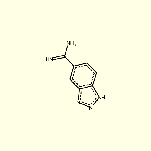 N=C(N)c1ccc2[nH]nnc2c1